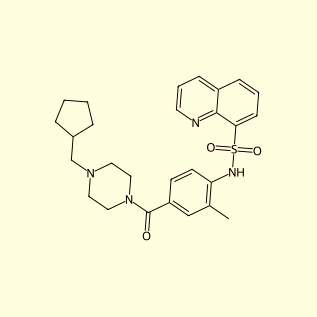 Cc1cc(C(=O)N2CCN(CC3CCCC3)CC2)ccc1NS(=O)(=O)c1cccc2cccnc12